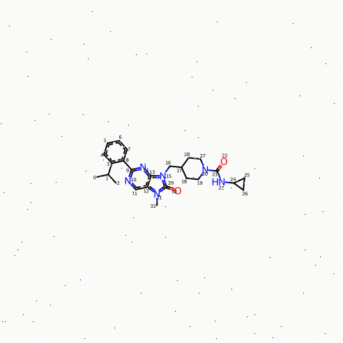 CC(C)c1ccccc1-c1ncc2c(n1)n(CC1CCN(C(=O)NC3CC3)CC1)c(=O)n2C